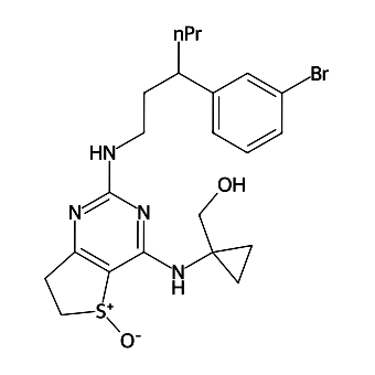 CCCC(CCNc1nc2c(c(NC3(CO)CC3)n1)[S+]([O-])CC2)c1cccc(Br)c1